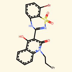 CC(C)CCn1c(=O)c(C2=NS(=O)(=O)c3c(Br)cccc3N2)c(O)c2ccccc21